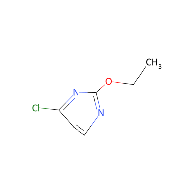 CCOc1nccc(Cl)n1